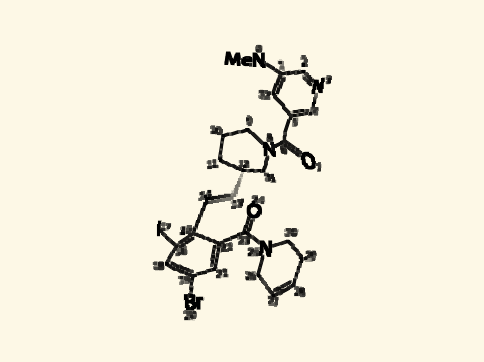 CNc1cncc(C(=O)N2CCC[C@@H](/C=C/c3c(I)cc(Br)cc3C(=O)N3CC=CCC3)C2)c1